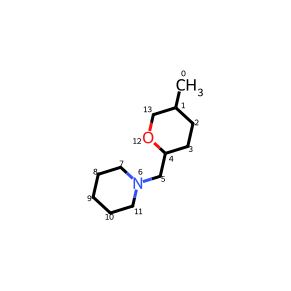 CC1CCC(CN2CCCCC2)OC1